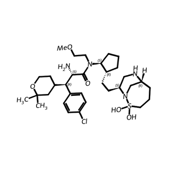 COCCN(C(=O)[C@@H](N)[C@@H](c1ccc(Cl)cc1)C1CCOC(C)(C)C1)[C@H]1CCC[C@@H]1CC[C@H]1CN[C@@H]2CCCS(O)(O)N1C2